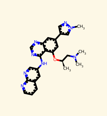 C[C@H](CN(C)C)Oc1cc(-c2cnn(C)c2)cc2ncnc(Nc3cnc4ncccc4c3)c12